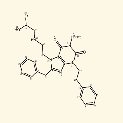 CCCCCn1c(=O)c2c(nc(Cc3cccnc3)n2CCNCC(O)CC)n(CCc2ccccc2)c1=O